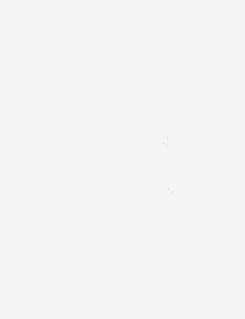 O=C1CNC(=O)C(c2cccc(CO)c2)N1